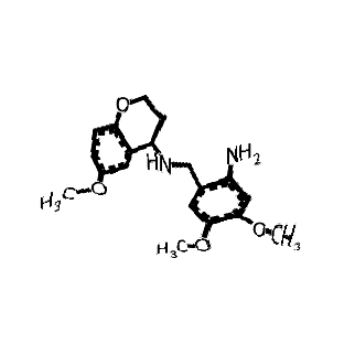 COc1ccc2c(c1)C(NCc1cc(OC)c(OC)cc1N)CCO2